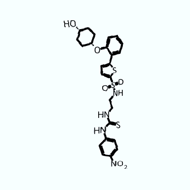 O=[N+]([O-])c1ccc(NC(=S)NCCNS(=O)(=O)c2ccc(-c3ccccc3O[C@H]3CC[C@@H](O)CC3)s2)cc1